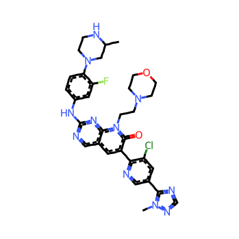 CC1CN(c2ccc(Nc3ncc4cc(-c5ncc(-c6ncnn6C)cc5Cl)c(=O)n(CCN5CCOCC5)c4n3)cc2F)CCN1